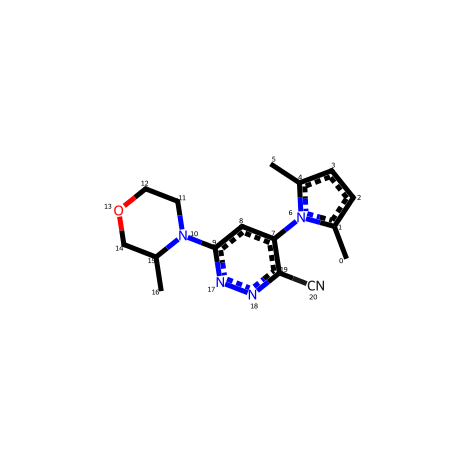 Cc1ccc(C)n1-c1cc(N2CCOCC2C)nnc1C#N